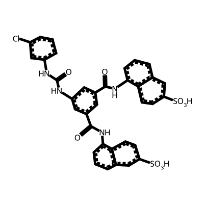 O=C(Nc1cccc(Cl)c1)Nc1cc(C(=O)Nc2cccc3cc(S(=O)(=O)O)ccc23)cc(C(=O)Nc2cccc3cc(S(=O)(=O)O)ccc23)c1